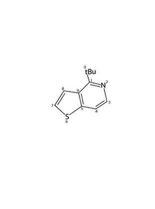 CC(C)(C)c1nccc2sccc12